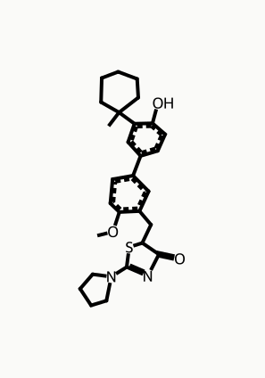 COc1ccc(-c2ccc(O)c(C3(C)CCCCC3)c2)cc1CC1SC(N2CCCC2)=NC1=O